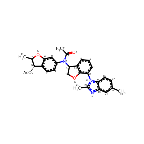 CC(=O)O[C@H]1c2ccc(N(C(=O)C(F)(F)F)C3COc4c3cccc4-n3c(C)nc4cc(C)ccc43)cc2OC1C